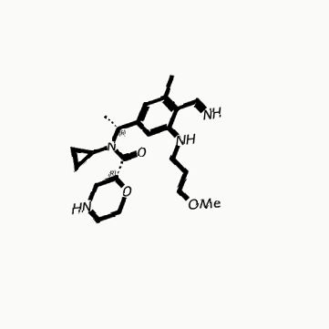 COCCCNc1cc([C@@H](C)N(C(=O)[C@H]2CNCCO2)C2CC2)cc(C)c1C=N